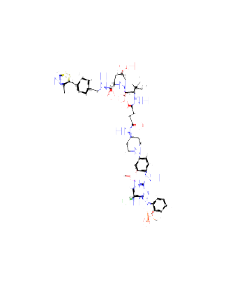 COc1cc(N2CCC(NC(=O)CCC(=O)N[C@H](C(=O)N3C[C@H](O)C[C@H]3C(=O)NCc3ccc(-c4scnc4C)cc3)C(C)(C)C)CC2)ccc1Nc1ncc(Cl)c(Nc2ccccc2P(C)(C)=O)n1